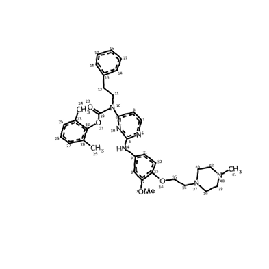 COc1cc(Nc2nccc(N(CCc3ccccc3)C(=O)Oc3c(C)cccc3C)n2)ccc1OCCN1CCN(C)CC1